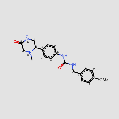 COc1ccc(CNC(=O)Nc2ccc(C3CNC(=O)CN3C)cc2)cc1